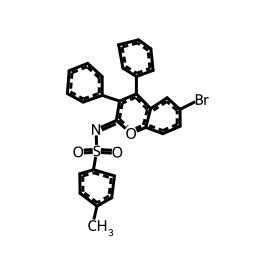 Cc1ccc(S(=O)(=O)/N=c2\oc3ccc(Br)cc3c(-c3ccccc3)c2-c2ccccc2)cc1